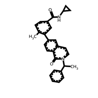 Cc1ccc(C(=O)NC2CC2)cc1-c1ccc2c(=O)n(C(C)c3ccccc3)ccc2c1